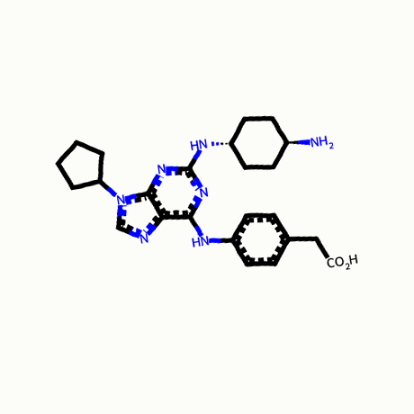 N[C@H]1CC[C@H](Nc2nc(Nc3ccc(CC(=O)O)cc3)c3ncn(C4CCCC4)c3n2)CC1